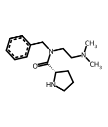 CN(C)CCN(Cc1ccccc1)C(=O)[C@@H]1CCCN1